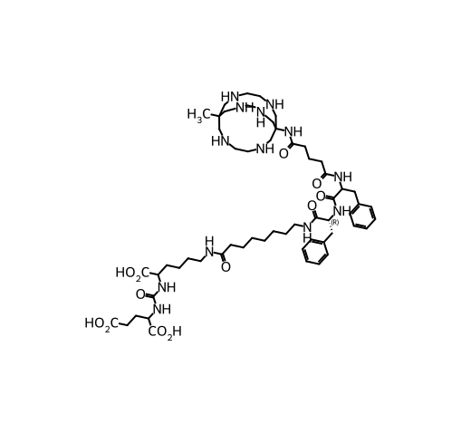 CC12CNCCNCC(NC(=O)CCCC(=O)NC(Cc3ccccc3)C(=O)N[C@H](Cc3ccccc3)C(=O)NCCCCCCCC(=O)NCCCCC(NC(=O)NC(CCC(=O)O)C(=O)O)C(=O)O)(CNCCNC1)CNCCNC2